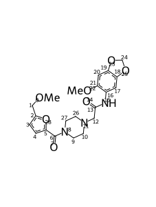 COCc1ccc(C(=O)N2CCN(CC(=O)Nc3cc4c(cc3OC)OCO4)CC2)o1